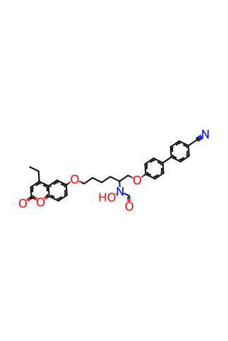 CCc1cc(=O)oc2ccc(OCCCCC(COc3ccc(-c4ccc(C#N)cc4)cc3)N(O)C=O)cc12